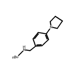 CCCCNCc1ccc(N2CCCC2)cc1